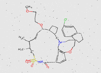 COCCOC1/C=C/C(C)C(C)CS(=O)(=O)NC(=O)c2ccc3c(c2)N(CC2CCC21)CC1(CCCc2cc(Cl)ccc21)CO3